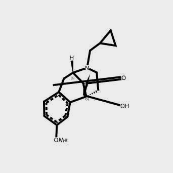 COc1ccc2c(c1)[C@@]13CCN(CC4CC4)[C@@H](C2)C1OC(=O)C(O)C3